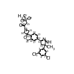 CC1(c2cc(Cl)cc(Cl)c2)CC(c2ccc3c(c2)COC32CN(C(=O)CS(C)(=O)=O)C2)=NN1